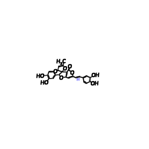 CC1=CC(=O)C2(O1)c1c(cc(/C=C/c3ccc(O)c(O)c3)oc1=O)OC2c1ccc(O)c(O)c1